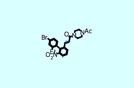 CCc1cc(Br)ccc1-c1c([N+](=O)[O-])[c]ccc1/C=C/C(=O)N1CCN(C(C)=O)CC1